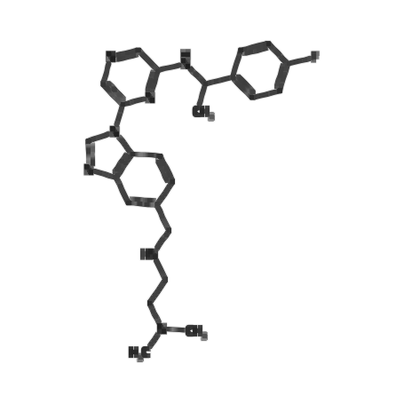 CC(Nc1cncc(-n2cnc3cc(CNCCN(C)C)ccc32)n1)c1ccc(F)cc1